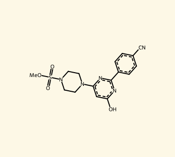 COS(=O)(=O)N1CCN(c2cc(O)nc(-c3ccc(C#N)cc3)n2)CC1